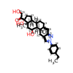 CCc1ccc(-n2cc3c(n2)C=C2CC[C@@H]4[C@H]([C@@H](O)C[C@@]5(C)[C@H]4CC[C@]5(O)C(=O)CO)[C@@]2(C)C3)cc1